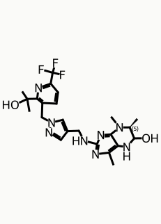 Cc1nc(NCc2cnn(Cc3ccc(C(F)(F)F)nc3C(C)(C)O)c2)nc2c1NC(O)[C@H](C)N2C